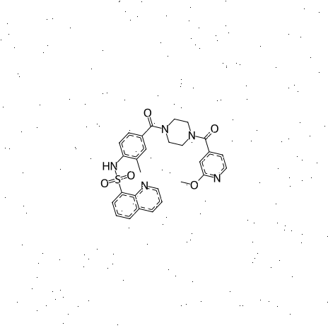 COc1cc(C(=O)N2CCN(C(=O)c3ccc(NS(=O)(=O)c4cccc5cccnc45)c(C)c3)CC2)ccn1